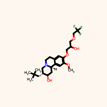 COc1cc2c(cc1OCC(O)COCC(F)(F)F)CCN1C[C@@H](CC(C)(C)C)[C@H](O)C[C@H]21